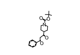 CC(C)(C)OC(=O)N1CCC(C(=O)CC(=O)c2ccccc2)CC1